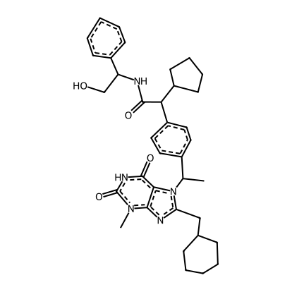 CC(c1ccc(C(C(=O)NC(CO)c2ccccc2)C2CCCC2)cc1)n1c(CC2CCCCC2)nc2c1c(=O)[nH]c(=O)n2C